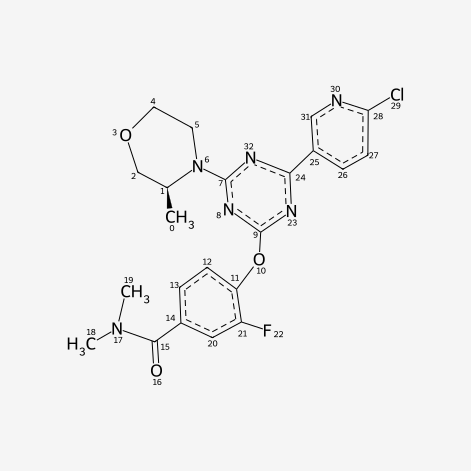 C[C@H]1COCCN1c1nc(Oc2ccc(C(=O)N(C)C)cc2F)nc(-c2ccc(Cl)nc2)n1